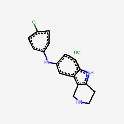 Cl.Clc1ccc(Nc2ccc3[nH]c4c(c3c2)CNCC4)cc1